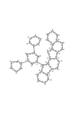 c1ccc(-c2nc(-c3ccccc3)nc(-n3c4ccccc4c4ccc5c6ccc7ccccc7c6oc5c43)n2)cc1